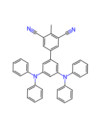 Cc1c(C#N)cc(-c2cc(N(c3ccccc3)c3ccccc3)cc(N(c3ccccc3)c3ccccc3)c2)cc1C#N